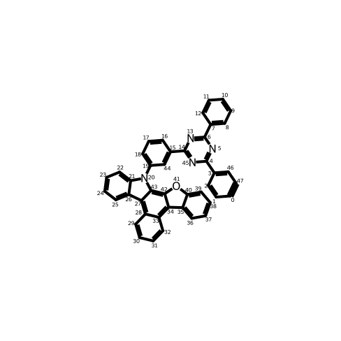 c1ccc(-c2nc(-c3ccccc3)nc(-c3cccc(-n4c5ccccc5c5c6ccccc6c6c7ccccc7oc6c54)c3)n2)cc#1